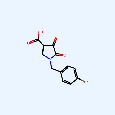 O=C(O)C1CN(Cc2ccc(Br)cc2)C(=O)C1=O